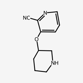 N#Cc1ncccc1OC1CCCNC1